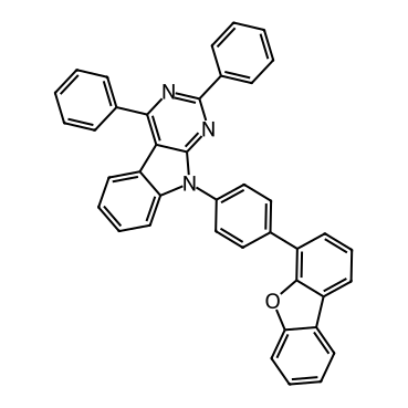 c1ccc(-c2nc(-c3ccccc3)c3c4ccccc4n(-c4ccc(-c5cccc6c5oc5ccccc56)cc4)c3n2)cc1